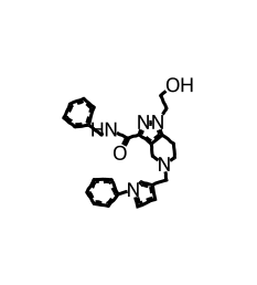 O=C(NCc1ccccc1)c1nn(CCO)c2c1CN(Cc1ccn(-c3ccccc3)c1)CC2